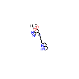 COC(=O)CC(/C=C/CCCCc1ccc2c(n1)NCCC2)c1cncnc1